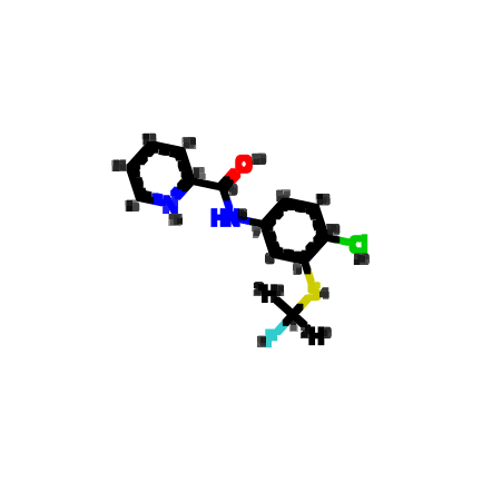 [2H]C([2H])(F)Sc1cc(NC(=O)c2ccccn2)ccc1Cl